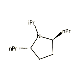 CCC[C@H]1CC[C@H](CCC)N1C(C)C